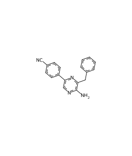 N#Cc1ccc(-c2cnc(N)c(Cc3ccccc3)n2)cc1